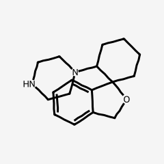 c1ccc2c(c1)COC21CCCCC1N1CCNCC1